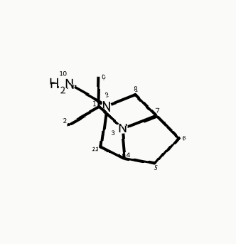 CC(C)N1C2CCC1CN(N)C2